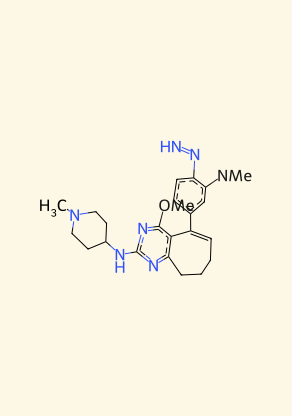 CNc1cc(C2=CCCCc3nc(NC4CCN(C)CC4)nc(OC)c32)ccc1N=N